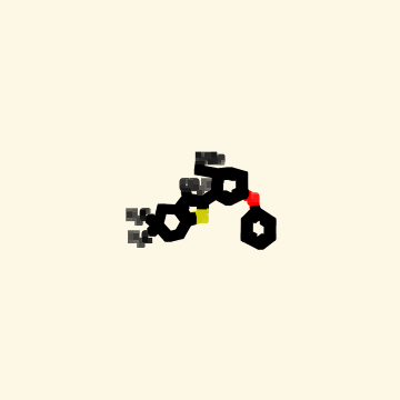 CNCc1ccc(Oc2ccccc2)cc1-c1sc2c(c1C(=O)O)CC(C)(C)CC2